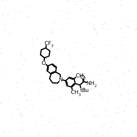 Cc1cc(N2CCCc3cc(OC4CCC(C(F)(F)F)CC4)ccc3C2)cc(C)c1C(C(N)=O)C(C)(C)C